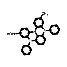 CCCCCCCCc1ccc2c(c1)B(c1ccccc1)c1cccc3c1N2c1ccc(C)cc1B3c1ccccc1